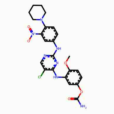 COc1ccc(OC(N)=O)cc1Nc1nc(Nc2ccc(N3CCCCC3)c([N+](=O)[O-])c2)ncc1Cl